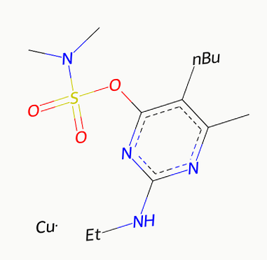 CCCCc1c(C)nc(NCC)nc1OS(=O)(=O)N(C)C.[Cu]